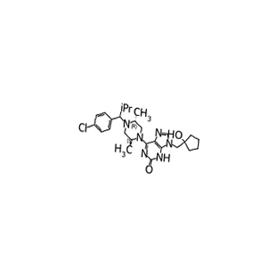 CC(C)C(c1ccc(Cl)cc1)N1C[C@H](C)N(c2nc(=O)[nH]c3c2ncn3CC2(O)CCCC2)C[C@H]1C